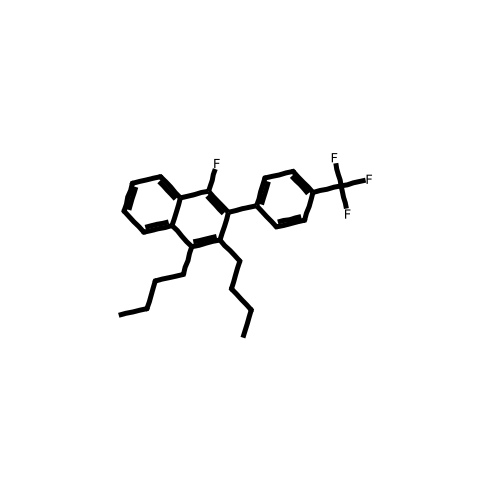 CCCCc1c(-c2ccc(C(F)(F)F)cc2)c(F)c2ccccc2c1CCCC